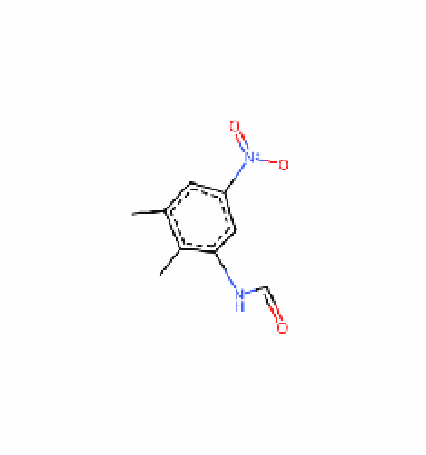 Cc1cc([N+](=O)[O-])cc(NC=O)c1C